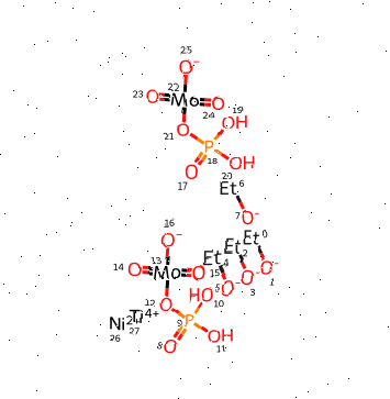 CC[O-].CC[O-].CC[O-].CC[O-].O=P(O)(O)[O][Mo](=[O])(=[O])[O-].O=P(O)(O)[O][Mo](=[O])(=[O])[O-].[Ni+2].[Ti+4]